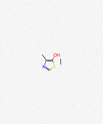 CC.Cc1ncsc1O